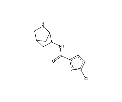 O=C(NC1CC2CNC1C2)c1ccc(Cl)s1